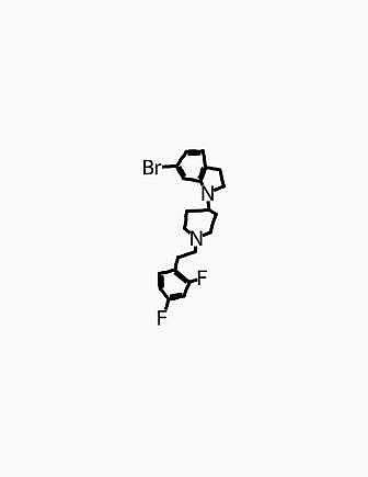 Fc1ccc(CCN2CCC(N3CCc4ccc(Br)cc43)CC2)c(F)c1